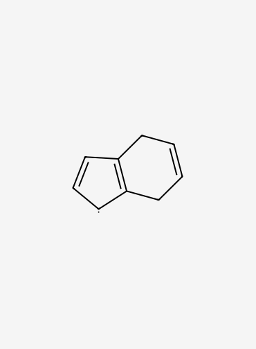 [CH]1C=CC2=C1CC=CC2